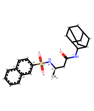 C[C@H](CC(=O)NC1C2CC3CC(C2)CC1C3)NS(=O)(=O)c1ccc2ccccc2c1